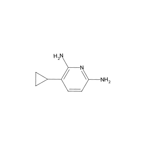 Nc1ccc(C2CC2)c(N)n1